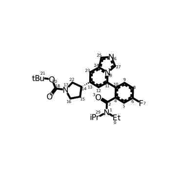 CCN(C(=O)c1cc(F)ccc1-c1cc([C@@H]2CCN(C(=O)OC(C)(C)C)C2)cc2cncn12)C(C)C